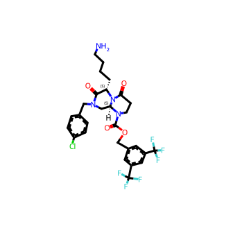 NCCCC[C@H]1C(=O)N(Cc2ccc(Cl)cc2)C[C@@H]2N(C(=O)OCc3cc(C(F)(F)F)cc(C(F)(F)F)c3)CCC(=O)N21